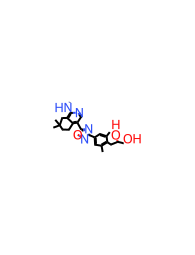 CNc1ncc(-c2nc(-c3cc(C)c(CC(O)CO)c(C)c3)no2)c2c1CC(C)(C)CC2